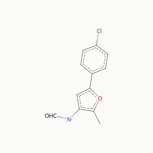 Cc1oc(-c2ccc(Cl)cc2)cc1[N]C=O